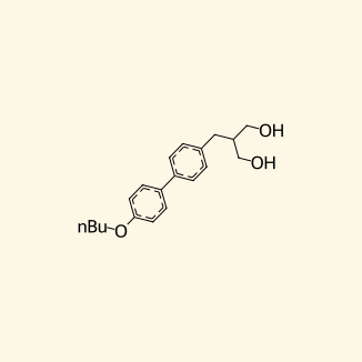 CCCCOc1ccc(-c2ccc(CC(CO)CO)cc2)cc1